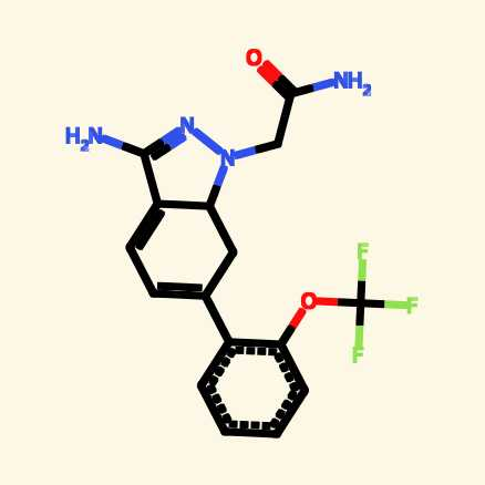 NC(=O)CN1N=C(N)C2=CC=C(c3ccccc3OC(F)(F)F)CC21